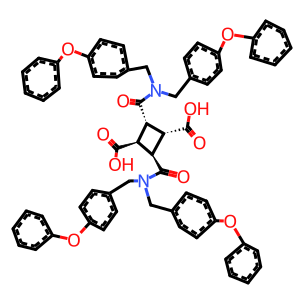 O=C(O)[C@H]1[C@H](C(=O)N(Cc2ccc(Oc3ccccc3)cc2)Cc2ccc(Oc3ccccc3)cc2)[C@H](C(=O)O)[C@H]1C(=O)N(Cc1ccc(Oc2ccccc2)cc1)Cc1ccc(Oc2ccccc2)cc1